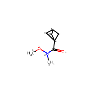 CON(C)C(=O)C12C[C](C1)C2